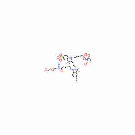 CCc1ccc2c(c1)C(C)(C)C(C=CC=C1N(CCCCCC(=O)ON3C(=O)CCC3=O)c3ccc(S(=O)(=O)[O-])cc3C1(C)C)=[N+]2CCCCCC(=O)NCCOCCOC